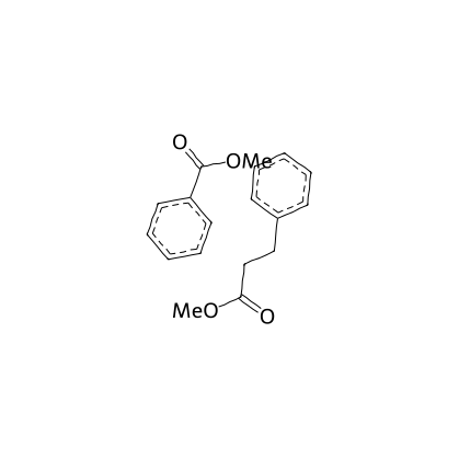 COC(=O)CCc1ccccc1.COC(=O)c1ccccc1